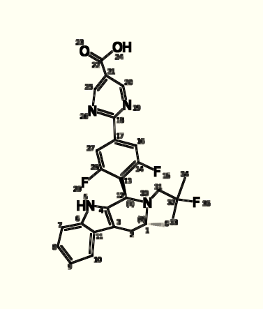 C[C@@H]1Cc2c([nH]c3ccccc23)[C@@H](c2c(F)cc(-c3ncc(C(=O)O)cn3)cc2F)N1CC(C)(C)F